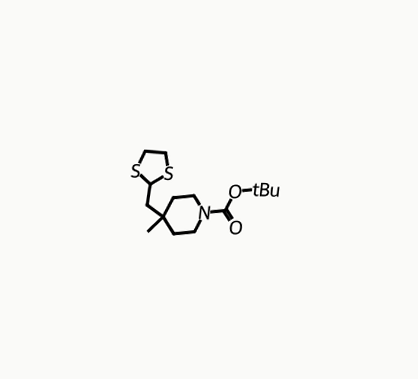 CC1(CC2SCCS2)CCN(C(=O)OC(C)(C)C)CC1